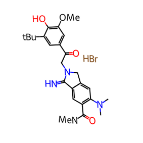 Br.CNC(=O)c1cc2c(cc1N(C)C)CN(CC(=O)c1cc(OC)c(O)c(C(C)(C)C)c1)C2=N